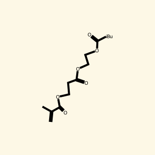 C=C(C)C(=O)OCCC(=O)OCCOC(=O)C(C)CC